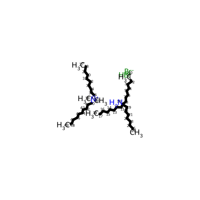 Br.CCCCCCCCC(N)(CCCCCCCC)CCCCCCCC.CCCCCCCCCC[N+](C)(C)CCCCCCCCCC.[Br-]